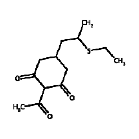 CCSC(C)CC1CC(=O)C(C(C)=O)C(=O)C1